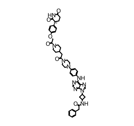 O=C1CC[C@@H](c2ccc(OCC(=O)N3CCC(CC(=O)N4CCN(c5ccc(Nc6ncnc7c6ncn7C6CC(NC(=O)Cc7ccccc7)C6)cc5)CC4)CC3)cc2)C(=O)N1